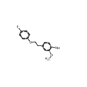 COc1cc(CCOc2ccc(F)cc2)ccc1O